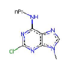 CCCNc1nc(Cl)nc2c1ncn2C